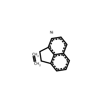 C=C.[Ni].c1cc2c3c(cccc3c1)CC2